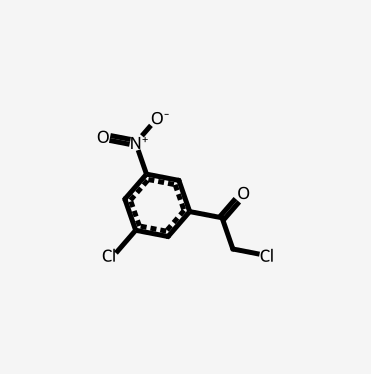 O=C(CCl)c1cc(Cl)cc([N+](=O)[O-])c1